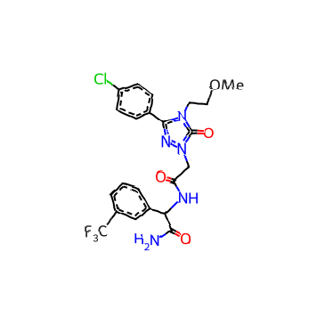 COCCn1c(-c2ccc(Cl)cc2)nn(CC(=O)NC(C(N)=O)c2cccc(C(F)(F)F)c2)c1=O